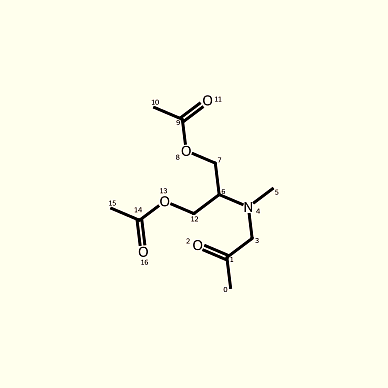 CC(=O)CN(C)C(COC(C)=O)COC(C)=O